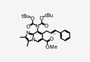 COC(=O)c1cn2c(C)c(C)nc2c(N(C(=O)OC(C)(C)C)C(=O)OC(C)(C)C)c1C/C=C/c1ccccc1